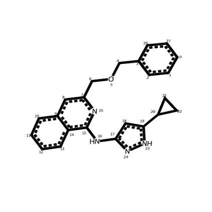 c1ccc(COCc2cc3ccccc3c(Nc3cc(C4CC4)[nH]n3)n2)cc1